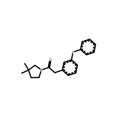 CC1(C)C[CH]N(C(=O)Cc2cccc(Oc3ccccc3)c2)C1